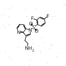 NCCc1cn(S(=O)(=O)c2ccc(F)cc2F)c2cccnc12